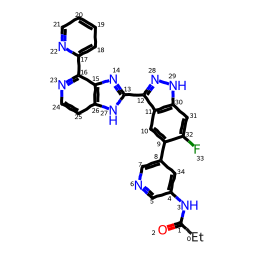 CCC(=O)Nc1cncc(-c2cc3c(-c4nc5c(-c6ccccn6)nccc5[nH]4)n[nH]c3cc2F)c1